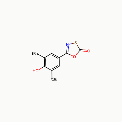 CC(C)(C)c1cc(-c2nsc(=O)o2)cc(C(C)(C)C)c1O